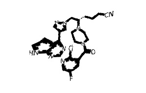 N#CCCC[C@@H](Cn1cc(-c2ncnc3[nH]ccc23)cn1)N1CCN(C(=O)c2cc(F)cnc2Cl)CC1